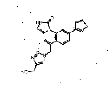 O=c1[nH]nc2cc(Cn3cc(CO)nn3)c3ccc(-c4ccsc4)cc3n12